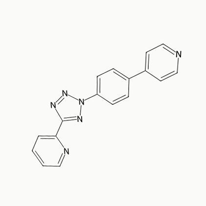 c1ccc(-c2nnn(-c3ccc(-c4ccncc4)cc3)n2)nc1